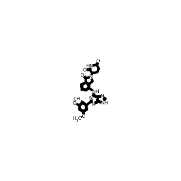 COc1cc(OC)cc(-c2nc(Nc3cccc4c3CN(C3CCC(=O)NC3=O)C4=O)c3nc[nH]c3n2)c1